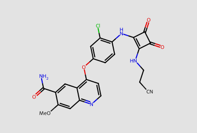 COc1cc2nccc(Oc3ccc(Nc4c(NCCC#N)c(=O)c4=O)c(Cl)c3)c2cc1C(N)=O